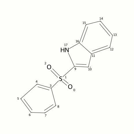 O=S(=O)(c1ccccc1)c1[c]c2ccccc2[nH]1